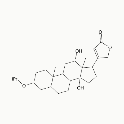 CC(C)OC1CCC2(C)C(CCC3C2CC(O)C2(C)C(C4=CC(=O)OC4)CCC32O)C1